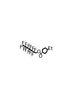 CC[C@H]1CC[C@H](C(=O)OCC(F)(F)C(F)(F)C(F)(F)C(F)(F)C(F)(F)C(F)F)CC1